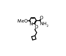 COc1ccc(C(N)=O)c(OCCC2CCC2)n1